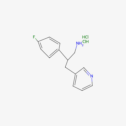 Cl.Cl.NCC(Cc1cccnc1)c1ccc(F)cc1